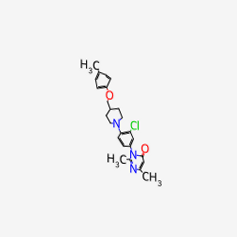 Cc1ccc(OCC2CCN(c3ccc(-n4c(C)nc(C)cc4=O)cc3Cl)CC2)cc1